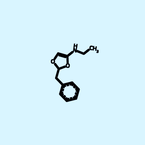 CCNC1=COC(Cc2ccccc2)O1